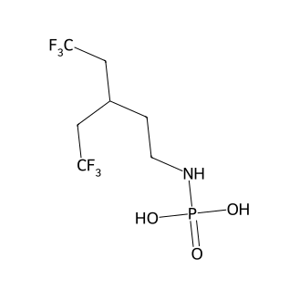 O=P(O)(O)NCCC(CC(F)(F)F)CC(F)(F)F